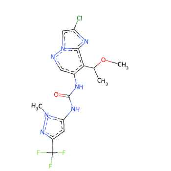 COC(C)c1c(NC(=O)Nc2cc(C(F)(F)F)nn2C)cnn2cc(Cl)nc12